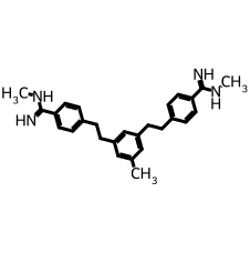 CNC(=N)c1ccc(CCc2cc(C)cc(CCc3ccc(C(=N)NC)cc3)c2)cc1